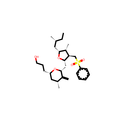 C=C1[C@H](C)C[C@H](CCCO)O[C@@H]1C[C@@H]1O[C@H](C[C@H](C)CC)[C@H](C)[C@H]1CS(=O)(=O)c1ccccc1